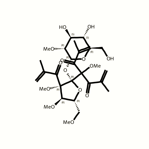 C=C(C)C(=O)C(OC)(C(=O)C(=C)C)[C@@]1(O[C@H]2O[C@H](CO)[C@@H](O)[C@H](O)[C@H]2OC)O[C@H](COC)[C@@H](OC)[C@@]1(OC)C(=O)C(=C)C